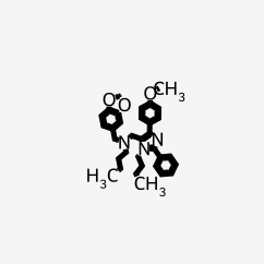 CCCCN(Cc1ccc2c(c1)OCO2)Cc1c(-c2ccc(OC)cc2)nc(-c2ccccc2)n1CCCC